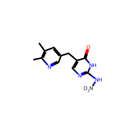 Cc1cc(Cc2cnc(N[N+](=O)[O-])[nH]c2=O)cnc1C